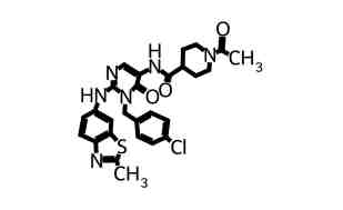 CC(=O)N1CCC(C(=O)Nc2cnc(Nc3ccc4nc(C)sc4c3)n(Cc3ccc(Cl)cc3)c2=O)CC1